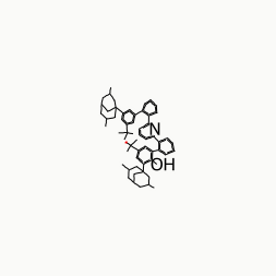 CC1CC2CC(C)CC(c3cc(-c4ccccc4-c4cccc(-c5ccccc5-c5cc(C(C)(C)C)cc(C67CC(C)CC(CC(C)C6)C7)c5O)n4)cc(C(C)(C)C)c3)(C1)C2